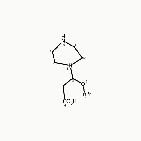 CCCOC(CC(=O)O)N1CCNCC1